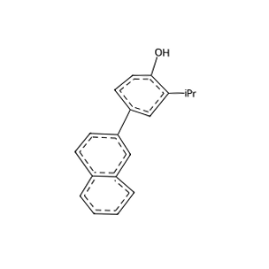 CC(C)c1cc(-c2ccc3ccccc3c2)ccc1O